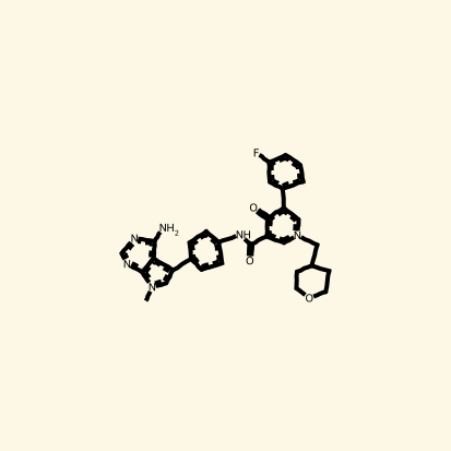 Cn1cc(-c2ccc(NC(=O)c3cn(CC4CCOCC4)cc(-c4cccc(F)c4)c3=O)cc2)c2c(N)ncnc21